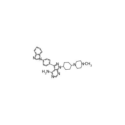 CN1CCN(C2CCC(n3nc(-c4ccc(-n5cnc6ccccc65)cc4)c4c(N)ncnc43)CC2)CC1